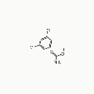 COC(N)=O.Clc1cccc(Cl)c1